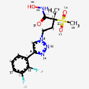 C[C@@](CCn1cc(-c2cccc(F)c2F)nn1)(C(=O)NO)S(C)(=O)=O